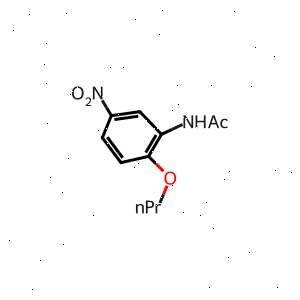 CCCOc1ccc([N+](=O)[O-])cc1NC(C)=O